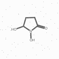 O=C1CCC(O)N1O